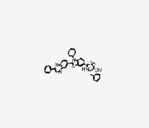 O=C(N[C@@H](Cc1ccccc1)C(=O)O)c1ccc2c(c1)nc(-c1ccc3nc(-c4ccccc4)cnc3c1)n2C1CCCCC1